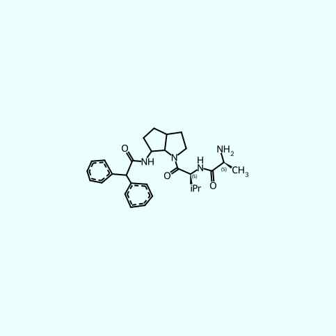 CC(C)[C@H](NC(=O)[C@H](C)N)C(=O)N1CCC2CCC(NC(=O)C(c3ccccc3)c3ccccc3)C21